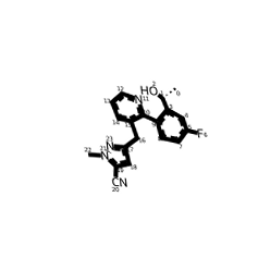 C[C@@H](O)c1cc(F)ccc1-c1ncccc1Cc1cc(C#N)n(C)n1